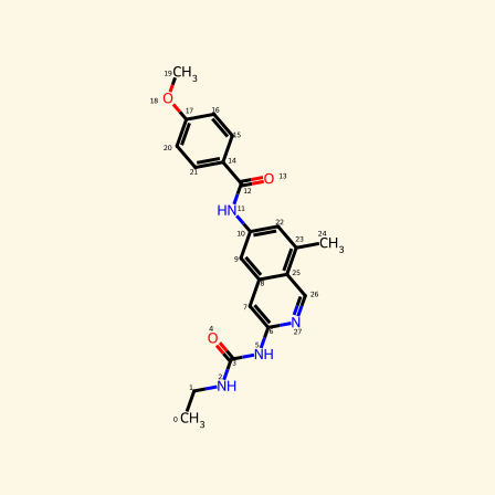 CCNC(=O)Nc1cc2cc(NC(=O)c3ccc(OC)cc3)cc(C)c2cn1